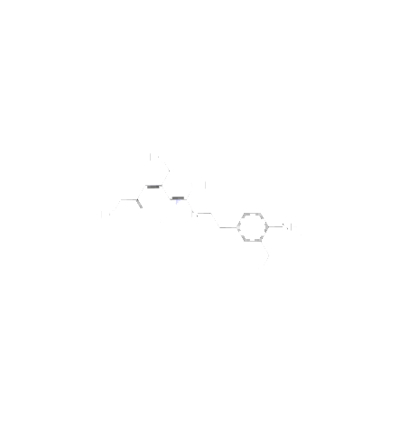 C=C(/C=C(\C=C(/C)NCCc1ccc(N)c(CC)c1)CC)CC